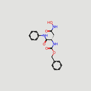 O=C(C[C@H](NC(=O)OCc1ccccc1)C(=O)Nc1ccccc1)NO